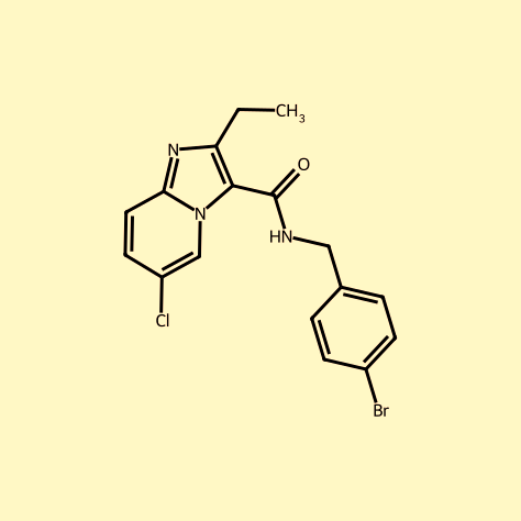 CCc1nc2ccc(Cl)cn2c1C(=O)NCc1ccc(Br)cc1